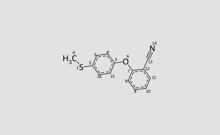 CSc1ccc(Oc2ccccc2C#N)cc1